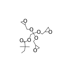 CCC(C)(C)C(=O)OCC(OCC1CO1)(OCC1CO1)OCC1CO1